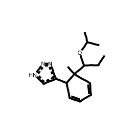 CCC(OC(C)C)C1(C)C=CC=CC1c1c[nH]nn1